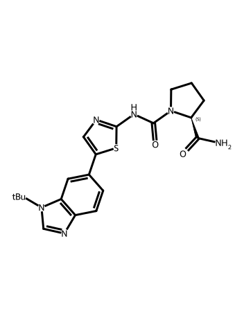 CC(C)(C)n1cnc2ccc(-c3cnc(NC(=O)N4CCC[C@H]4C(N)=O)s3)cc21